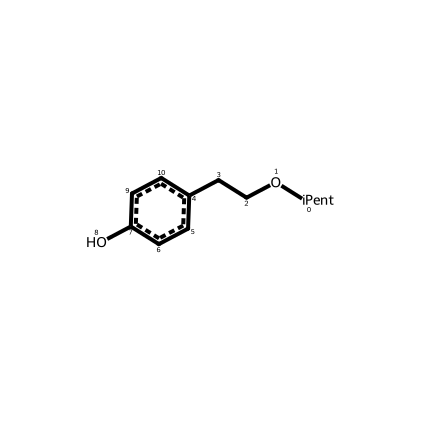 CCCC(C)OCCc1ccc(O)cc1